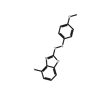 COc1ccc(SSc2nc3c(I)cccc3o2)cc1